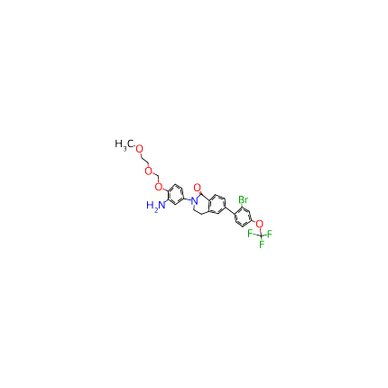 COCCOCOc1ccc(N2CCc3cc(-c4ccc(OC(F)(F)F)cc4Br)ccc3C2=O)cc1N